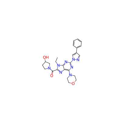 CCn1c(C(=O)N2CCC(O)C2)nc2c(N3CCOCC3)nc(-n3cc(-c4ccccc4)cn3)nc21